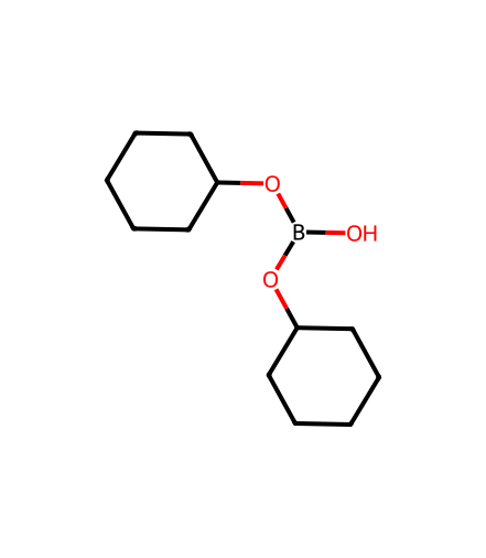 OB(OC1CCCCC1)OC1CCCCC1